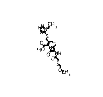 CCn1nnnc1SCC1=C(C(=O)O)N2C(=O)[C@H](NC(=O)CSCOC)C2SC1